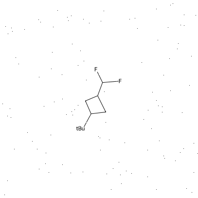 CC(C)(C)C1CC(C(F)F)C1